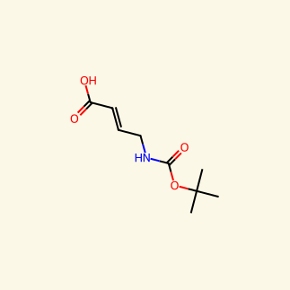 CC(C)(C)OC(=O)NCC=CC(=O)O